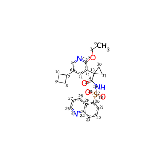 CCOc1ncc(C2CCC2)cc1C1(C(=O)NS(=O)(=O)c2cccc3ncccc23)CC1